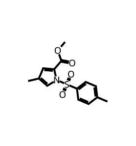 COC(=O)c1cc(C)cn1S(=O)(=O)c1ccc(C)cc1